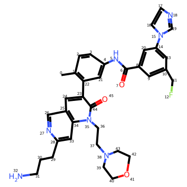 Cc1ccc(NC(=O)c2cc(CF)cc(-n3ccnc3)c2)cc1-c1cc2cnc(CCCN)cc2n(CCN2CCOCC2)c1=O